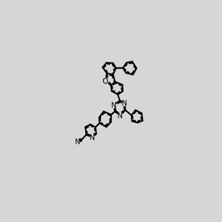 N#Cc1ccc(-c2ccc(-c3nc(-c4ccccc4)nc(-c4ccc5c(c4)oc4cccc(-c6ccccc6)c45)n3)cc2)cn1